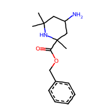 CC1(C)CC(N)CC(C)(C(=O)OCc2ccccc2)N1